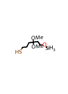 COC(CCCS)(CCO[SiH3])OC